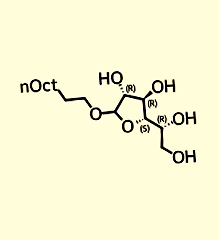 CCCCCCCCCCOC1O[C@@H]([C@H](O)CO)[C@H](O)[C@H]1O